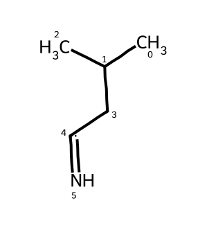 CC(C)C[C]=N